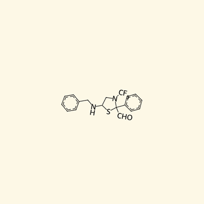 O=CC1(c2ccccc2)SC(NCc2ccccc2)CN1C(F)(F)F